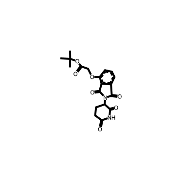 CC(C)(C)OC(=O)COc1cccc2c1C(=O)N(C1CCC(=O)NC1=O)C2=O